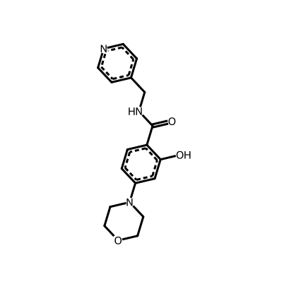 O=C(NCc1ccncc1)c1ccc(N2CCOCC2)cc1O